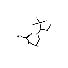 C[C@@H](CNC(CI)C(F)(F)F)NC(=O)O